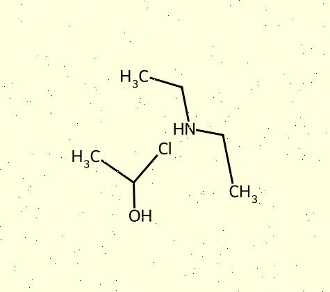 CC(O)Cl.CCNCC